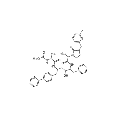 COC(=O)NC(C(=O)NC(Cc1ccc(-c2ccccn2)cc1)CC(O)C(Cc1ccccc1)NC(=O)C(N1CCN(Cc2cccc(C)n2)C1=O)C(C)(C)C)C(C)(C)C